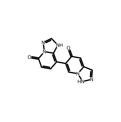 O=c1cc2cn[nH]n2cc1-c1c[c]c(=O)n2nc[nH]c12